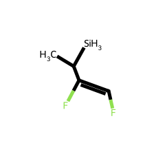 CC([SiH3])C(F)=CF